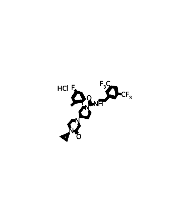 Cc1cc(F)ccc1[C@H]1C[C@@H](N2CCN(C3CC3)C(=O)C2)CCN1C(=O)NCCc1cc(C(F)(F)F)cc(C(F)(F)F)c1.Cl